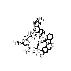 C#CC(C)Oc1cc(N2C(=O)C3=C(CCCC3)C2=O)c(F)cc1Cl.COc1cc(OC)nc(NC(=O)NS(=O)(=O)c2c(-c3nnn(C)n3)cnn2C)n1